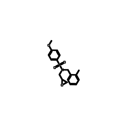 COc1ccc(S(=O)(=O)N(Cc2ccccc2C)CC2CO2)cc1